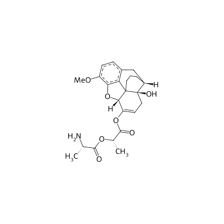 COc1ccc2c3c1O[C@H]1C(OC(=O)[C@H](C)OC(=O)[C@H](C)N)=CC[C@@]4(O)[C@H](CCCC314)C2